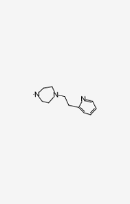 c1ccc(CCN2CC[N]CC2)nc1